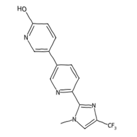 Cn1cc(C(F)(F)F)nc1-c1ccc(-c2ccc(O)nc2)cn1